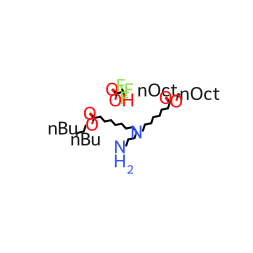 CCCCCCCCC(CCCCCCCC)OC(=O)CCCCCCCN(CCCN)CCCCCCCC(=O)OCCC(CCCC)CCCC.O=C(O)C(F)(F)F